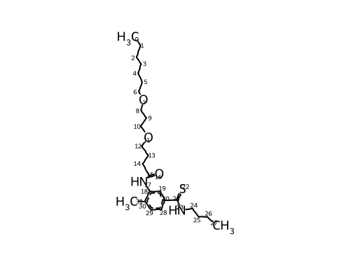 CCCCCCCOCCCOCCCC(=O)Nc1cc(C(=S)NCCCC)ccc1C